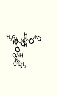 CCN(CC)C(=O)Nc1ccc(-c2nn(C)cc2-c2ccnc(Nc3cccc(CN4CCCC4)c3)n2)cc1